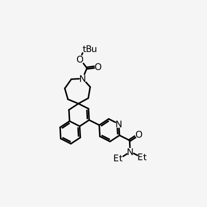 CCN(CC)C(=O)c1ccc(C2=CC3(CCCN(C(=O)OC(C)(C)C)CC3)Cc3ccccc32)cn1